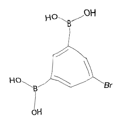 OB(O)c1cc(Br)cc(B(O)O)c1